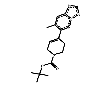 Cc1cc2ncnn2nc1C1=CCN(C(=O)OC(C)(C)C)CC1